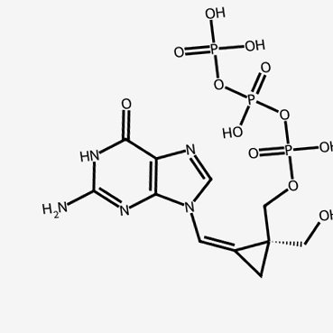 Nc1nc2c(ncn2/C=C2/C[C@]2(CO)COP(=O)(O)OP(=O)(O)OP(=O)(O)O)c(=O)[nH]1